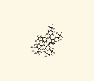 Cc1cc2c3c(c1)N(c1ccc(C(C)(C)C)cc1)c1c(oc4ccc(C(C)(C)C)cc14)B3C1=C(CC3C(=C1)C(C)(C)CCC3(C)C)N2c1cc2c(cc1-c1ccccc1C)C(C)(C)CCC2(C)C